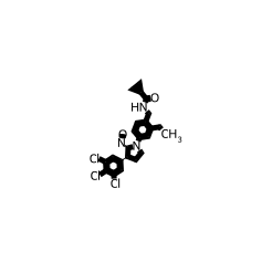 CCc1cc(N2CC[C@H](c3cc(Cl)c(Cl)c(Cl)c3)[C@@H]2N=O)ccc1CNC(=O)C1CC1